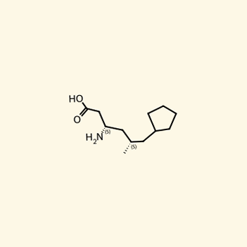 C[C@@H](CC1CCCC1)C[C@H](N)CC(=O)O